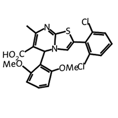 COc1cccc(OC)c1C1C(C(=O)O)=C(C)N=C2SC(c3c(Cl)cccc3Cl)=CN21